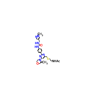 CC(=O)NCCSCc1cc(N2CCOC[C@@H]2C)nc(-c2ccc(NC(=O)NCc3cnn(C)c3)cc2)n1